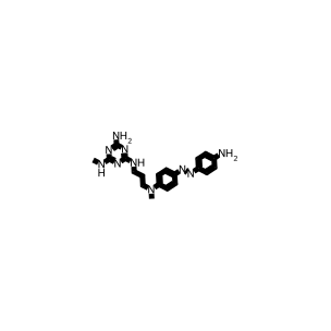 CNc1nc(N)nc(NCCCN(C)c2ccc(/N=N/c3ccc(N)cc3)cc2)n1